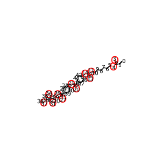 C=CC(=O)OCCCCCCOC(=O)Oc1ccc(C(=O)Oc2ccc(C(=O)O[C@H]3COC4C3OC[C@@H]4OC)cc2)cc1